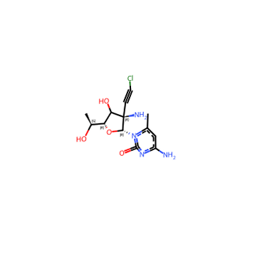 Cc1cc(N)nc(=O)n1[C@@H]1O[C@H]([C@H](C)O)C(O)[C@]1(N)C#CCl